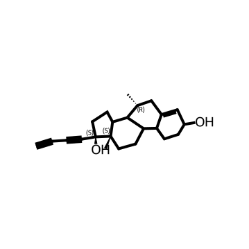 C#CC#C[C@]1(O)CCC2C3C(CC[C@@]21C)C1CCC(O)C=C1C[C@H]3C